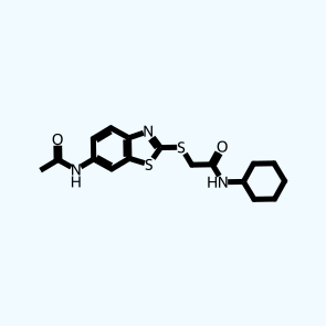 CC(=O)Nc1ccc2nc(SCC(=O)NC3CCCCC3)sc2c1